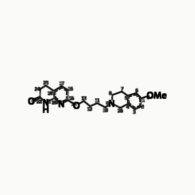 COc1ccc2c(c1)CCN(CCCCOc1ccc3c(n1)NC(=O)CC3)C2